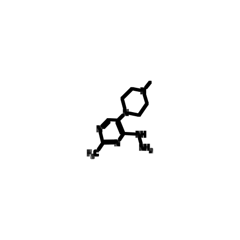 CN1CCN(c2cnc(C(F)(F)F)nc2NN)CC1